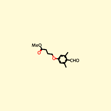 COC(=O)CCCOc1cc(C)c(C=O)c(C)c1